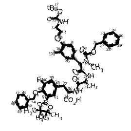 C[C@H](NC(=O)[C@H](c1ccc(OCCNC(=O)OC(C)(C)C)c(I)c1)N(C)C(=O)OCc1ccccc1)C(=O)N[C@@H](Cc1cc(F)c(OCc2ccccc2)c(B2OC(C)(C)C(C)(C)O2)c1)C(=O)O